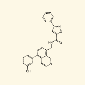 O=C(NCc1ccc(-c2cccc(O)c2)c2ccncc12)c1cc(-c2ccccc2)no1